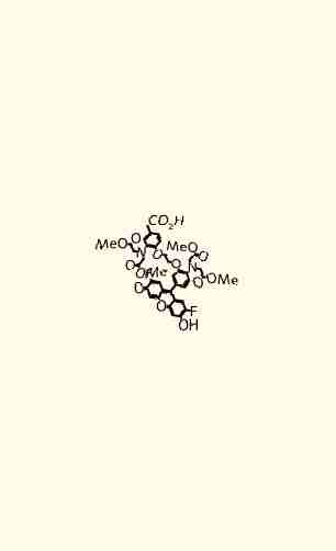 COC(=O)CN(CC(=O)OC)c1ccc(-c2c3cc(F)c(=O)cc-3oc3cc(O)c(F)cc23)cc1OCCOc1ccc(CC(=O)O)cc1N(CC(=O)OC)CC(=O)OC